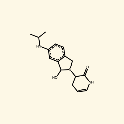 CC(C)Nc1ccc2c(c1)C(O)N(C1CC=CNC1=O)C2